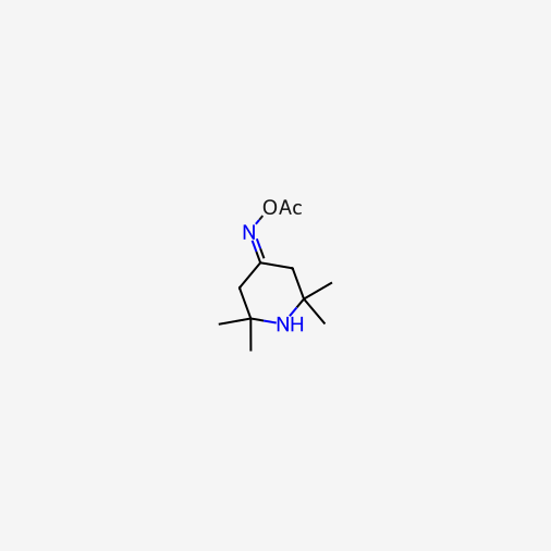 CC(=O)ON=C1CC(C)(C)NC(C)(C)C1